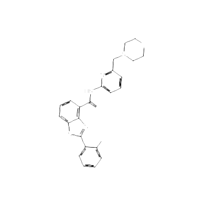 O=C(Nc1cccc(CN2CCOCC2)n1)c1cccc2[nH]c(-c3ccccc3F)nc12